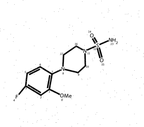 COc1cc(F)ccc1N1CCN(S(N)(=O)=O)CC1